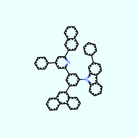 c1ccc(-c2cc(-c3cc(-c4cc5ccccc5c5ccccc45)cc(-n4c5ccccc5c5ccc(-c6ccccc6)cc54)c3)nc(-c3ccc4ccccc4c3)c2)cc1